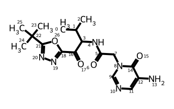 CC(C)C(NC(=O)Cn1cncc(N)c1=O)C(=O)c1nnc(C(C)(C)C)o1